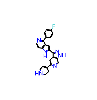 Fc1ccc(-c2nccc3[nH]c(-c4n[nH]c5cnc(C6=CCNCC6)cc45)cc23)cc1